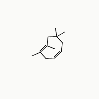 C/C1=C(/C)CC(C)(C)C/C=C\C1